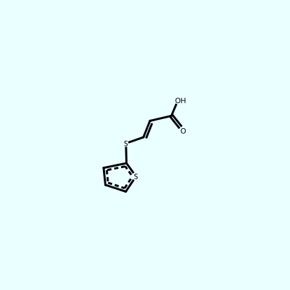 O=C(O)/C=C/Sc1cccs1